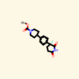 CC(C)(C)OC(=O)N1CCC(c2ccc([C@]3(F)CCC(=O)NC3=O)cc2)CC1